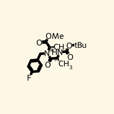 COC(=O)[C@@H](C)N(Cc1ccc(F)cc1)C(=O)[C@@H](C)NC(=O)OC(C)(C)C